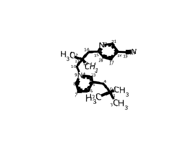 CC(C)(C)Cc1ccc[n+](CC(C)(C)Cc2ccc(C#N)cn2)c1